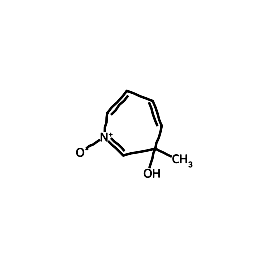 CC1(O)C=CC=C[N+]([O-])=C1